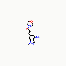 Cn1ncc2c(N)cc(/C=C/C(=O)N3CCOCC3)cc21